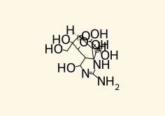 NC1=NC(O)C2C3OC4(O)O[C@@H](C(O)C2(N1)[C@@H]4O)C3(O)CO